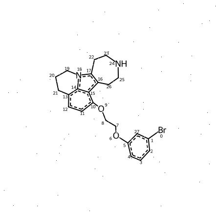 Brc1cccc(OCCOc2ccc3c4c2c2c(n4CCC3)CCNCC2)c1